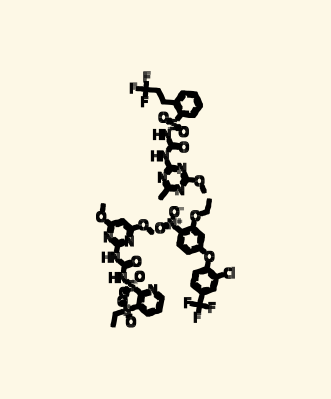 CCOc1cc(Oc2ccc(C(F)(F)F)cc2Cl)ccc1[N+](=O)[O-].CCS(=O)(=O)c1cccnc1S(=O)(=O)NC(=O)Nc1nc(OC)cc(OC)n1.COc1nc(C)nc(NC(=O)NS(=O)(=O)c2ccccc2CCC(F)(F)F)n1